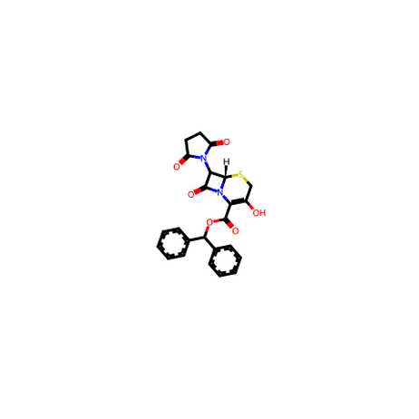 O=C(OC(c1ccccc1)c1ccccc1)C1=C(O)CS[C@H]2C(N3C(=O)CCC3=O)C(=O)N12